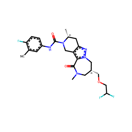 C[C@@H]1Cc2nn3c(c2CN1C(=O)Nc1ccc(F)c(C#N)c1)C(=O)N(C)C[C@@H](COCC(F)F)C3